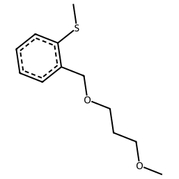 COCCCOCc1ccccc1SC